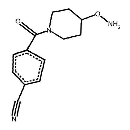 N#Cc1ccc(C(=O)N2CCC(ON)CC2)cc1